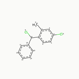 Cc1cc(Cl)ccc1C(Cl)c1ccccc1